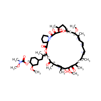 COC1C(=O)C(C)C[C@H](C)/C=C/C=C/C=C(\C)[C@@H](OC)C[C@@H]2CCC(C)C(O)(O2)C(=O)C(=O)N2CCCCC2C(=O)O[C@H]([C@H](C)CC2CC[C@@H](OC(=O)N(C)OC)C(OC)C2)CC(=O)[C@H](C)/C=C(\C)[C@H]1O